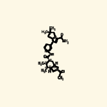 CC(=O)N1C[C@H]2C[C@@H](C(=O)Nc3cc(-c4cc(C(N)=O)n5c4CC(C)(C)C5)ccn3)[C@@H](C)[C@@H](C)[C@H]2C1